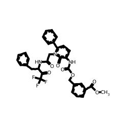 COC(=O)c1cccc(COC(=O)Nc2ccc(-c3ccccc3)n(CC(=O)NC(Cc3ccccc3)C(=O)C(F)(F)F)c2=O)c1